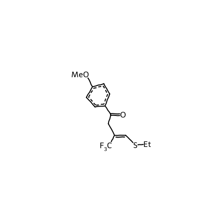 CCSC=C(CC(=O)c1ccc(OC)cc1)C(F)(F)F